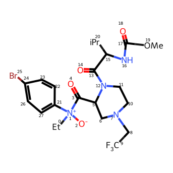 CC[N+]([O-])(C(=O)C1CN(CC(F)(F)F)CCN1C(=O)C(NC(=O)OC)C(C)C)c1ccc(Br)cc1